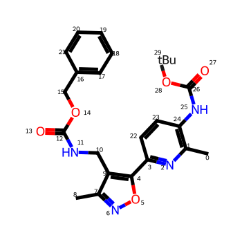 Cc1nc(-c2onc(C)c2CNC(=O)OCc2ccccc2)ccc1NC(=O)OC(C)(C)C